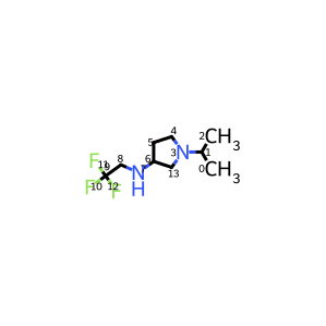 CC(C)N1CCC(NCC(F)(F)F)C1